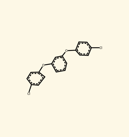 Clc1ccc(Oc2cccc(Oc3ccc(Cl)cc3)c2)cc1